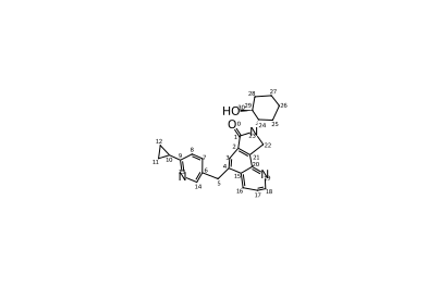 O=C1c2cc(Cc3ccc(C4CC4)nc3)c3cccnc3c2CN1[C@H]1CCCC[C@@H]1O